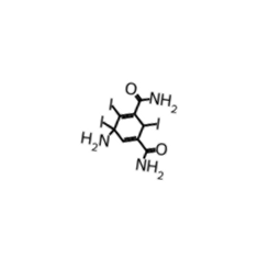 NC(=O)C1=CC(N)(I)C(I)=C(C(N)=O)C1I